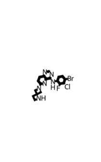 Fc1c(Nc2ncnc3ccc(N4CC5(CCN5)C4)nc23)ccc(Br)c1Cl